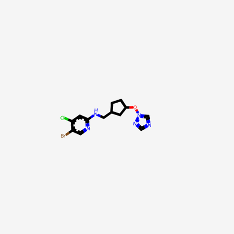 Clc1cc(NCC2CCC(On3cncn3)C2)ncc1Br